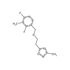 Cc1cc(CCOCc2ccc(F)c(C)c2F)on1